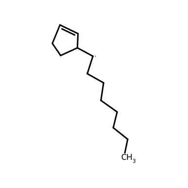 CCCCCCC[CH]C1C=CCC1